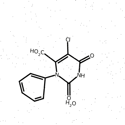 O.O=C(O)c1c(Cl)c(=O)[nH]c(=O)n1-c1ccccc1